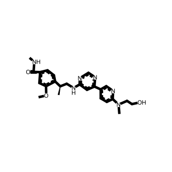 CNC(=O)c1ccc([C@H](C)CNc2cc(-c3ccc(N(C)CCO)nc3)ncn2)c(OC)c1